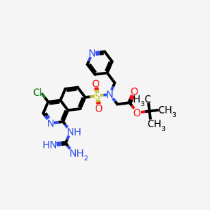 CC(C)(C)OC(=O)CN(Cc1ccncc1)S(=O)(=O)c1ccc2c(Cl)cnc(NC(=N)N)c2c1